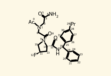 CC(=O)N(CC(N)=O)CC(=O)N1C[C@H](F)C[C@H]1C(=O)N[C@@H](c1ccccc1)c1ccc(C(C)C)cc1